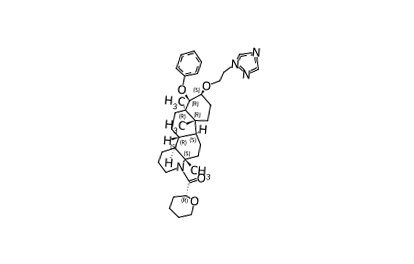 C[C@]12CC[C@H]3[C@@H](CC[C@@]4(C)[C@@H](Oc5ccccc5)[C@@H](OCCn5cncn5)CC[C@]34C)[C@@H]1CCCN2C(=O)[C@H]1CCCCO1